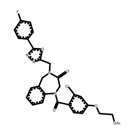 CC(=O)OCCOc1ccc(C(=O)N2CC(=O)N(Cc3nnc(-c4ccc(F)cc4)o3)Cc3ccccc32)c(Cl)c1